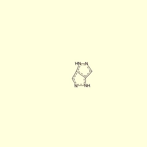 c1n[nH]c2cn[nH]c12